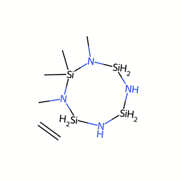 C=C.CN1[SiH2]N[SiH2]N[SiH2]N(C)[Si]1(C)C